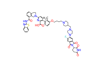 Cc1c(OCCCCN2CCC(CN3CCN(c4cc5c(cc4F)C(=O)N(C4CCC(=O)NC4=O)C5=O)CC3)CC2)cccc1-c1ccc(N2CCc3cccc(C(=O)Nc4nc5ccccc5s4)c3C2)nc1C(=O)O